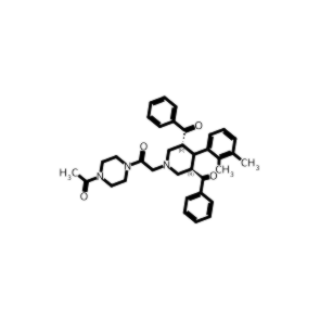 CC(=O)N1CCN(C(=O)CN2C[C@H](C(=O)c3ccccc3)C(c3cccc(C)c3C)[C@@H](C(=O)c3ccccc3)C2)CC1